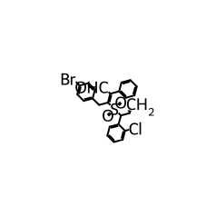 C=CC(c1ccccc1Cl)S(=O)(=O)C(Cc1ccc(Br)cc1)=C(C=O)c1ccccc1